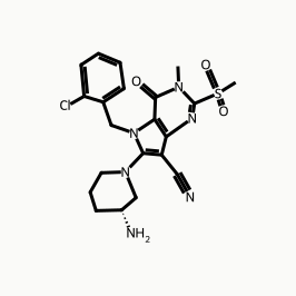 Cn1c(S(C)(=O)=O)nc2c(C#N)c(N3CCC[C@@H](N)C3)n(Cc3ccccc3Cl)c2c1=O